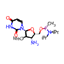 COC1[C@@H](N)[C@@H](COP(C)N(C(C)C)C(C)C)O[C@H]1n1ccc(=O)[nH]c1=O